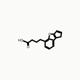 O=C(O)CCCc1cccc2c3c(oc12)C=CC3